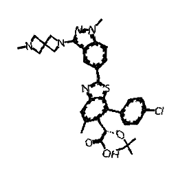 Cc1cc2nc(-c3ccc4c(c3)c(N3CC5(CN(C)C5)C3)nn4C)sc2c(-c2ccc(Cl)cc2)c1[C@H](OC(C)(C)C)C(=O)O